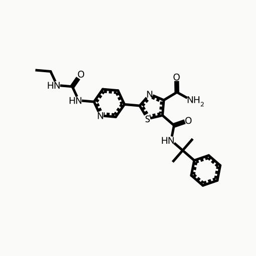 CCNC(=O)Nc1ccc(-c2nc(C(N)=O)c(C(=O)NC(C)(C)c3ccccc3)s2)cn1